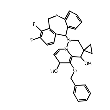 OC1C=CN2C(=C1OCc1ccccc1)C(O)C1(CC1)CN2C1c2ccccc2SCc2c1ccc(F)c2F